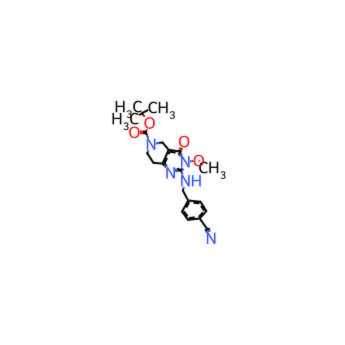 COn1c(NCc2ccc(C#N)cc2)nc2c(c1=O)CN(C(=O)OC(C)(C)C)CC2